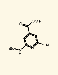 CCC(C)Nc1cc(C(=O)OC)cc(C#N)n1